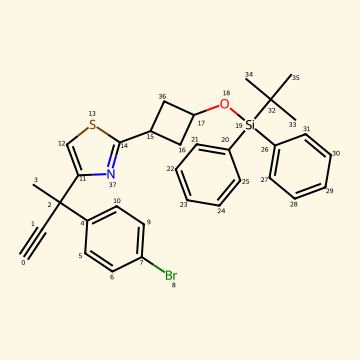 C#CC(C)(c1ccc(Br)cc1)c1csc(C2CC(O[Si](c3ccccc3)(c3ccccc3)C(C)(C)C)C2)n1